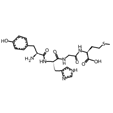 CSCC[C@H](NC(=O)CNC(=O)[C@H](Cc1c[nH]cn1)NC(=O)[C@@H](N)Cc1ccc(O)cc1)C(=O)O